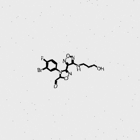 O=CC1ON=C(c2nonc2NCCCO)N1c1ccc(F)c(Br)c1